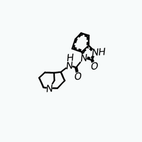 O=C(NC1CCN2CCCC1C2)n1c(=O)[nH]c2ccccc21